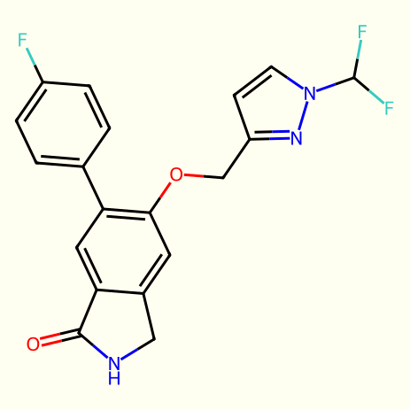 O=C1NCc2cc(OCc3ccn(C(F)F)n3)c(-c3ccc(F)cc3)cc21